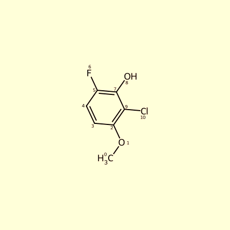 COc1ccc(F)c(O)c1Cl